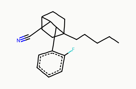 CCCCCC12CCC(CC1)C(C#N)C2c1ccccc1F